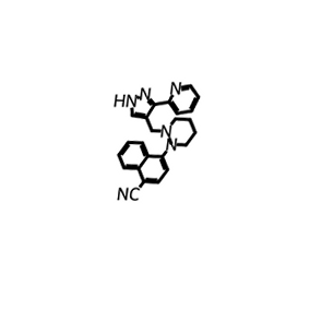 N#Cc1ccc(N2CCCCN2Cc2c[nH]nc2-c2ccccn2)c2ccccc12